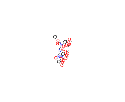 CC(=O)Oc1cccc(C(=O)NCCCN(CCCN(CC(=O)OCc2ccccc2)C(=O)c2cccc(OC(C)=O)c2OC(C)=O)C(=O)c2cccc(OC(C)=O)c2OC(C)=O)c1OC(C)=O